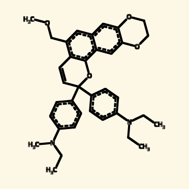 CCN(C)c1ccc(C2(c3ccc(N(CC)CC)cc3)C=Cc3c(COC)cc4cc5c(cc4c3O2)OCCO5)cc1